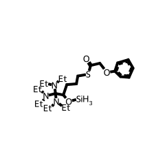 CCN(CC)C(C(CCCSC(=O)COc1ccccc1)O[SiH3])(N(CC)CC)N(CC)CC